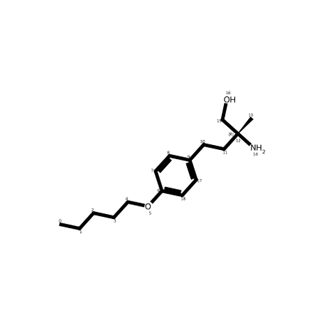 CCCCCOc1ccc(CC[C@@](C)(N)CO)cc1